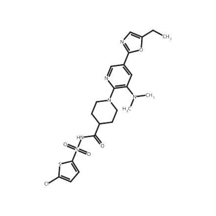 CCc1cnc(-c2cnc(N3CCC(C(=O)NS(=O)(=O)c4ccc(Cl)s4)CC3)c(N(C)C)c2)o1